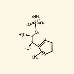 C[C@@H](OS(N)(=O)=O)[C@H](O)c1ccccc1Cl